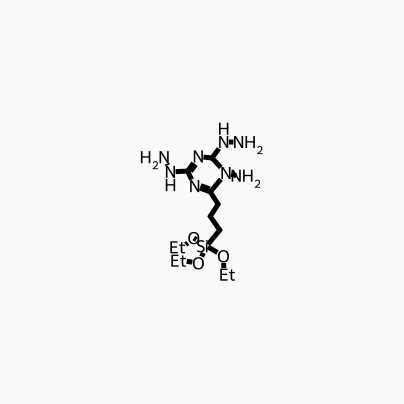 CCO[Si](CCCC1=NC(NN)=NC(NN)N1N)(OCC)OCC